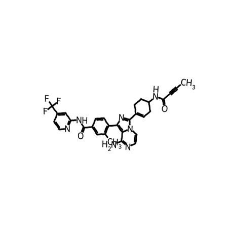 CC#CC(=O)NC1CC=C(c2nc(-c3ccc(C(=O)Nc4cc(C(F)(F)F)ccn4)cc3C)c3c(N)nccn23)CC1